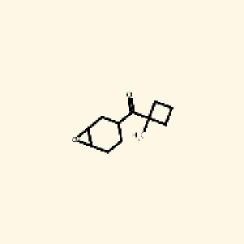 CC1(C(=O)C2CCC3OC3C2)CCC1